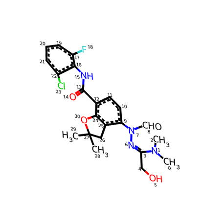 CN(C)/C(CO)=N\N(C=O)c1ccc(C(=O)Nc2c(F)cccc2Cl)c2c1CC(C)(C)O2